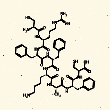 C[C@H](NC(=O)[C@H](CCCCN)NC(=O)[C@H](Cc1ccccc1)NC(=O)[C@H](Cc1ccccc1)NC(=O)[C@H](CCCNC(=N)N)NC(=O)[C@@H](N)CS)C(=O)N[C@@H](Cc1ccccc1)C(=O)N[C@@H](CS)C(=O)O